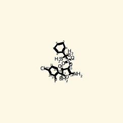 BC(B)(c1ccccc1)S(=O)(=O)OC1=C(N)O[C@@](B)(c2ccc(Cl)cc2F)C1=O